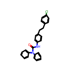 O=C(Nc1ccc(CCc2ccc(Cl)cc2)cc1)N(c1ccccc1)c1ccccc1